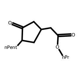 CCCCCC1CC(CC(=O)OCCC)CC1=O